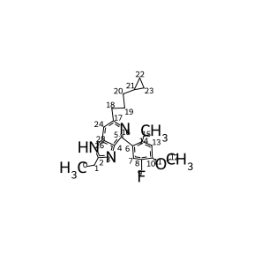 CCc1nc2c(-c3cc(F)c(OC)cc3C)nc(CCCC3CC3)cc2[nH]1